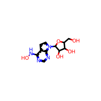 OCC1OC(n2ccc3c(NO)ncnc32)C(O)C1O